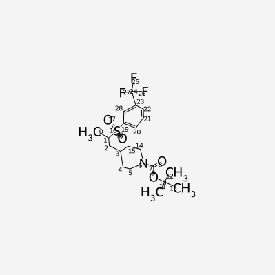 CC(CC1CCN(C(=O)OC(C)(C)C)CC1)S(=O)(=O)c1cccc(C(F)(F)F)c1